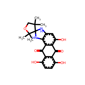 CC1(C)COC(C)(C)C12Nc1cc(O)c3c(c1N2)C(=O)c1c(O)ccc(O)c1C3=O